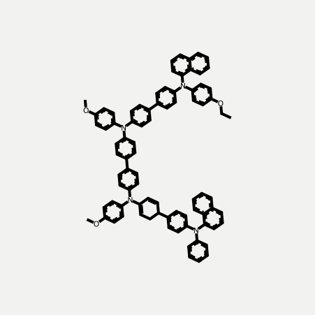 CCOc1ccc(N(c2ccc(-c3ccc(N(c4ccc(OC)cc4)c4ccc(-c5ccc(N(C6=CCC(c7ccc(N(c8ccccc8)c8cccc9ccccc89)cc7)C=C6)c6ccc(OC)cc6)cc5)cc4)cc3)cc2)c2cccc3ccccc23)cc1